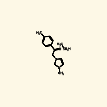 CS(=O)(=O)O.Cc1ccc(C(=O)CN2C=CN(C)C2)cc1